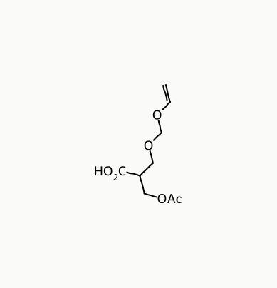 C=COCOCC(COC(C)=O)C(=O)O